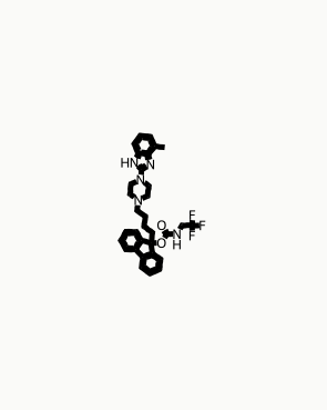 Cc1cccc2[nH]c(N3CCN(CCCCC4(OC(=O)NCC(F)(F)F)c5ccccc5-c5ccccc54)CC3)nc12